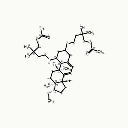 CC[C@H]1CC[C@H]2C3=CC=C4CC(OCCC(C)(O)COC(C)=O)CC(OCCC(C)(O)COC(C)=O)[C@]4(C)[C@H]3CC[C@]12C